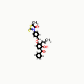 C=C1SC(=S)N(c2ccc(COc3ccc(C(=O)c4ccccc4)c(O)c3CCC)cc2)C1=O